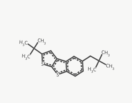 CC(C)(C)Cc1ccc2sc3sc(C(C)(C)C)cc3c2c1